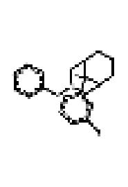 OC1(c2cccc(I)c2)C2CCCC1CN(Cc1ccccc1)C2